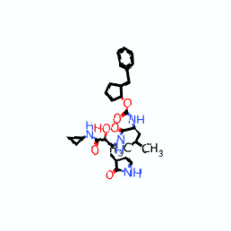 CC(C)C[C@H](NC(=O)OC1CCCC1Cc1ccccc1)C(=O)N[C@H](CC1CCNC1=O)C(O)C(=O)NC1CC1